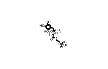 CC(Cc1ccc(O)c(O)c1)(NNC(=O)OCCOP(=O)(O)O)C(=O)O